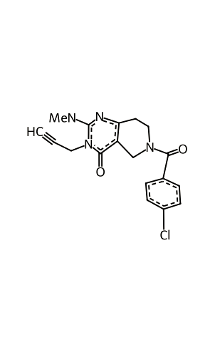 C#CCn1c(NC)nc2c(c1=O)CN(C(=O)c1ccc(Cl)cc1)CC2